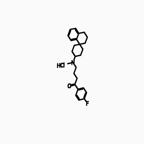 CN(CCCC(=O)c1ccc(F)cc1)C1CCC2(CCCc3ccccc32)CC1.Cl